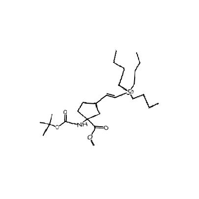 CCC[CH2][Sn]([CH]=CC1CCC(NC(=O)OC(C)(C)C)(C(=O)OC)C1)([CH2]CCC)[CH2]CCC